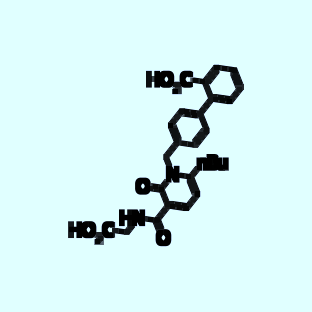 CCCCc1ccc(C(=O)NCC(=O)O)c(=O)n1Cc1ccc(-c2ccccc2C(=O)O)cc1